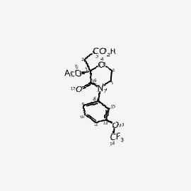 CC(=O)O[C@@]1(CC(=O)O)OCCN(c2cccc(OC(F)(F)F)c2)C1=O